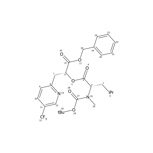 CC(C)C[C@@H](C(=O)O[C@H](Cc1ccc(C(F)(F)F)cn1)C(=O)OCc1ccccc1)N(C)C(=O)OC(C)(C)C